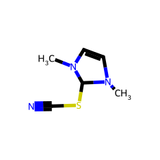 CN1C=CN(C)C1SC#N